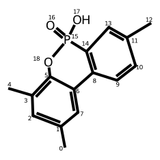 Cc1cc(C)c2c(c1)-c1ccc(C)cc1P(=O)(O)O2